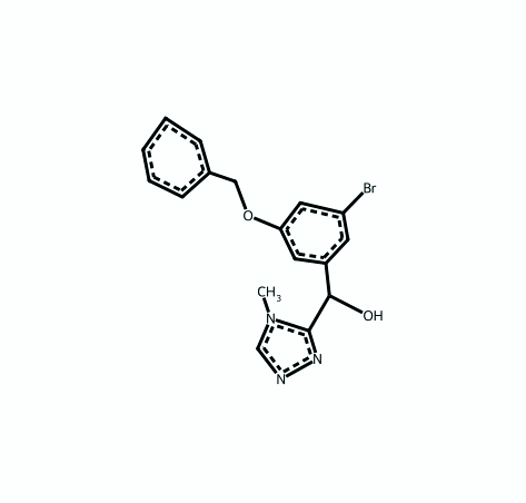 Cn1cnnc1C(O)c1cc(Br)cc(OCc2ccccc2)c1